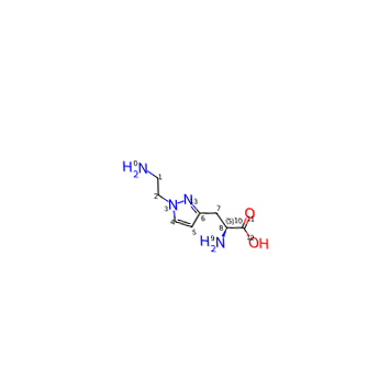 NCCn1ccc(C[C@H](N)C(=O)O)n1